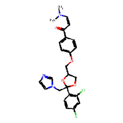 CN(C)/C=C\C(=O)c1ccc(OCC2COC(Cn3ccnc3)(c3ccc(Cl)cc3Cl)O2)cc1